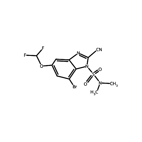 CN(C)S(=O)(=O)n1c(C#N)nc2cc(OC(F)F)cc(Br)c21